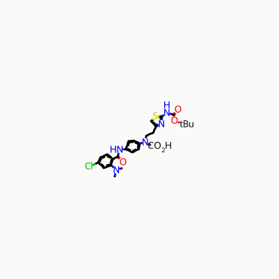 CN(C)c1cc(Cl)ccc1C(=O)Nc1ccc(N(CCc2csc(NC(=O)OC(C)(C)C)n2)C(=O)O)cc1